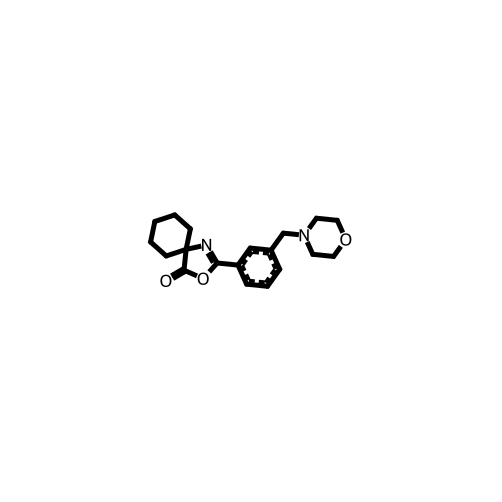 O=C1OC(c2cccc(CN3CCOCC3)c2)=NC12CCCCC2